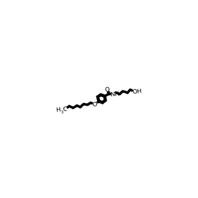 CCCCCCCCOc1ccc(C(=O)NCCCCCO)cc1